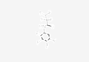 O=C(Nc1cc(F)c(F)c(F)c1F)C(F)(F)C(F)F